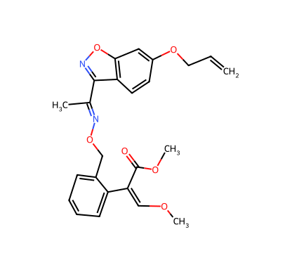 C=CCOc1ccc2c(C(C)=NOCc3ccccc3C(=COC)C(=O)OC)noc2c1